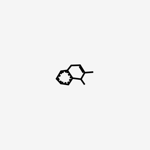 CC1=CCc2ccccc2C1C